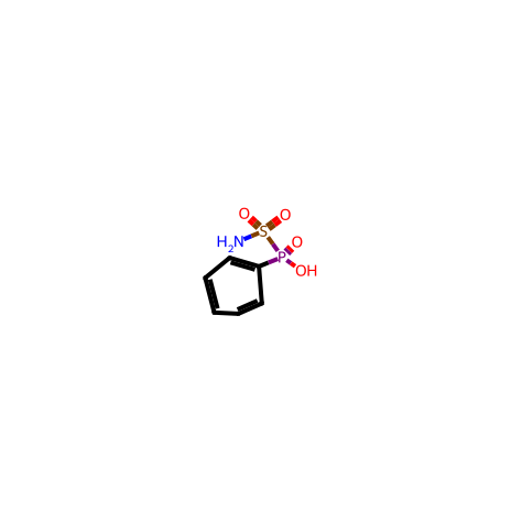 NS(=O)(=O)P(=O)(O)c1ccccc1